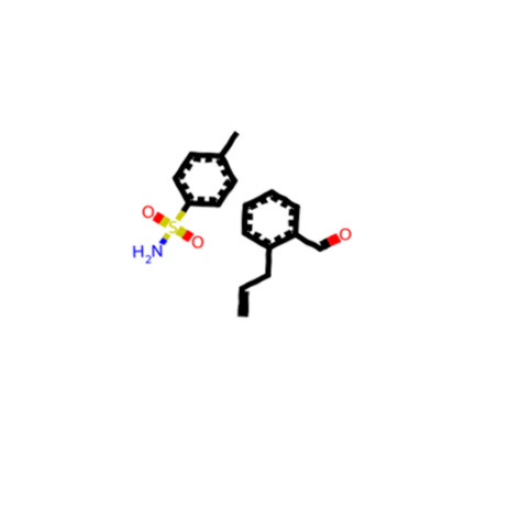 C=CCc1ccccc1C=O.Cc1ccc(S(N)(=O)=O)cc1